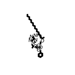 CCCCCCCCCCCCCCCCC(C)OCCOP(=O)(COC(C)Cn1cnc2c(N)ncnc21)OCc1ccccc1